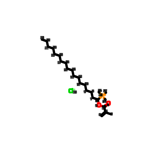 C=C(C)C(=O)OC(CCCCCCCCCCCCCCCCC)[P+](C)(C)C.[Cl-]